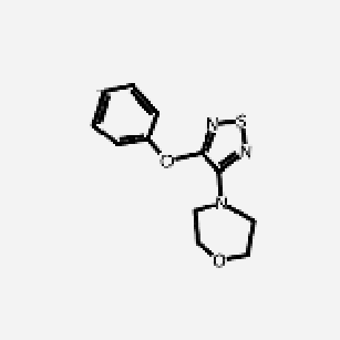 [c]1ccc(Oc2nsnc2N2CCOCC2)cc1